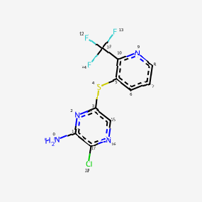 Nc1nc(Sc2cccnc2C(F)(F)F)cnc1Cl